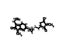 CN1C(=O)CN(CC[C@@H]2C[C@H]2c2ccc3c(n2)n(C)c(=O)n3CC(C)(C)C)C1=O